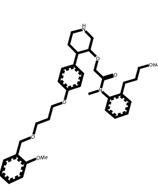 COCCCc1ccccc1N(C)C(=O)COC1CNCCC1c1ccc(OCCCOCc2ccccc2OC)cc1